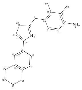 Cc1c(N)ccc(Cc2nc(-c3ccc4c(c3)CCCC4)cs2)c1C